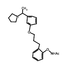 CC(=O)NOc1ccccc1CCCOc1cccc(C(C)N2CCCC2)c1